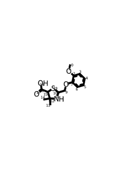 COc1ccccc1OCC1NC(C)(C)C(C(=O)O)S1